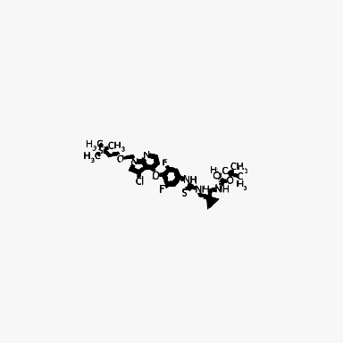 CC(C)(C)OC(=O)NCC1(CNC(=S)Nc2cc(F)c(Oc3ccnc4c3c(Cl)cn4COCC[Si](C)(C)C)c(F)c2)CC1